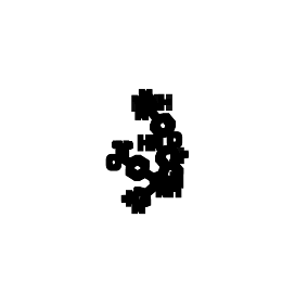 CN(C)C(=O)c1ccc(-c2c(-c3cnn(C)c3)[nH]c3ncc4c(cc(Nc5cccc(-c6nnn[nH]6)c5)c(=O)n4C)c23)cc1